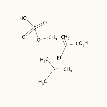 C=C(CC)C(=O)O.CN(C)C.COS(=O)(=O)O